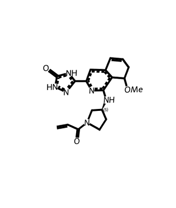 C=CC(=O)N1CC[C@H](Nc2nc(-c3n[nH]c(=O)[nH]3)cc3c2C(OC)CC=C3)C1